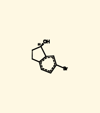 O[C@@H]1CCc2ccc(Br)cc21